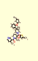 CCC[C@H]1N(C(=O)c2cnccc2C(F)(F)F)CCC[C@@]1(Oc1csc(C(F)(F)F)c1)C(=O)N1CCC(C#N)(c2ccccc2O[C@@H]2CC[C@@H](C(C)=O)C2)CC1